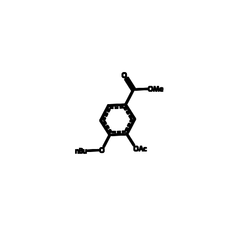 CCCCOc1ccc(C(=O)OC)cc1OC(C)=O